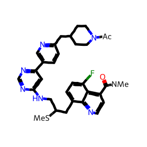 CNC(=O)c1ccnc2c(CC(CNc3cc(-c4ccc(CC5CCN(C(C)=O)CC5)nc4)ncn3)SC)ccc(F)c12